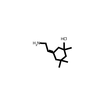 CC1(C)CC(=CCN)CC(C)(C)C1.Cl